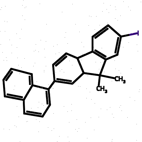 CC1(C)c2cc(I)ccc2C2C=CC(c3cccc4ccccc34)=CC21